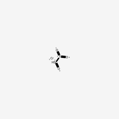 O=[SiH][Ti](=[O])=[O].[Cr]